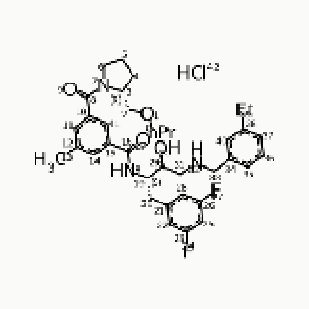 CCCOC[C@H]1CCCN1C(=O)c1cc(C)cc(C(=O)N[C@@H](Cc2cc(F)cc(F)c2)[C@@H](O)CNCc2cccc(CC)c2)c1.Cl